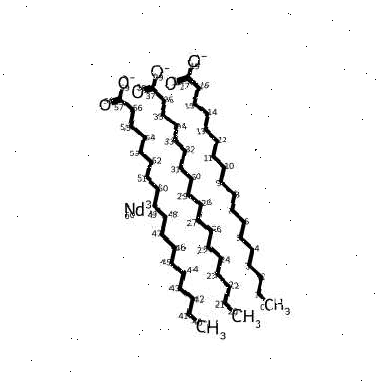 CCCCCCCCCCCCCCCCCC(=O)[O-].CCCCCCCCCCCCCCCCCC(=O)[O-].CCCCCCCCCCCCCCCCCC(=O)[O-].[Nd+3]